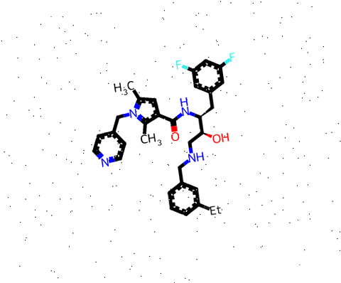 CCc1cccc(CNC[C@H](O)[C@H](Cc2cc(F)cc(F)c2)NC(=O)c2cc(C)n(Cc3ccncc3)c2C)c1